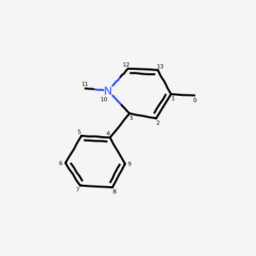 CC1=CC(c2ccccc2)N(C)C=C1